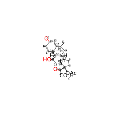 CC(=O)O[C@]1(C(=O)C(=O)O)CC[C@H]2[C@@H]3CC(C)C4=CC(=O)C=C[C@]4(C)[C@H]3C(O)C[C@@]21C